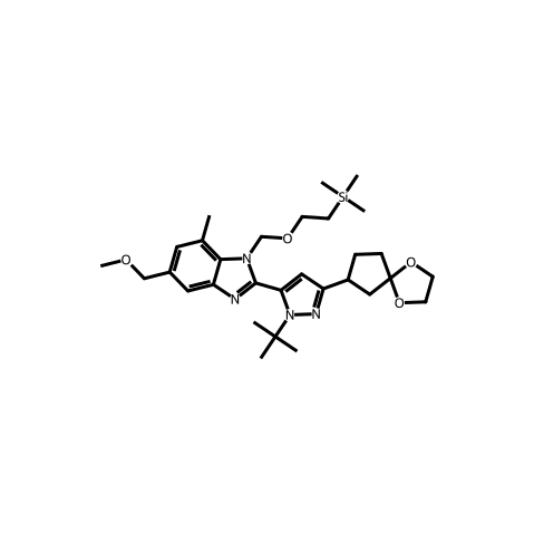 COCc1cc(C)c2c(c1)nc(-c1cc(C3CCC4(C3)OCCO4)nn1C(C)(C)C)n2COCC[Si](C)(C)C